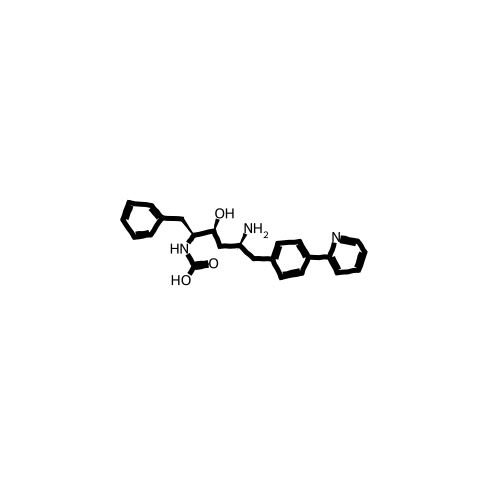 N[C@@H](Cc1ccc(-c2ccccn2)cc1)C[C@H](O)[C@H](Cc1ccccc1)NC(=O)O